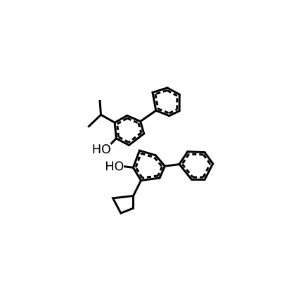 CC(C)c1cc(-c2ccccc2)ccc1O.Oc1ccc(-c2ccccc2)cc1C1CCC1